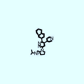 CC(C)NCC1CCCN1c1cc(-c2ccncc2)c(-c2ccc3ccccc3c2)nn1